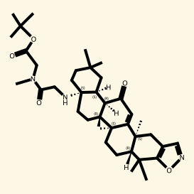 CN(CC(=O)OC(C)(C)C)C(=O)CN[C@]12CCC(C)(C)C[C@H]1[C@H]1C(=O)C=C3[C@@]4(C)Cc5cnoc5C(C)(C)[C@@H]4CC[C@@]3(C)[C@]1(C)CC2